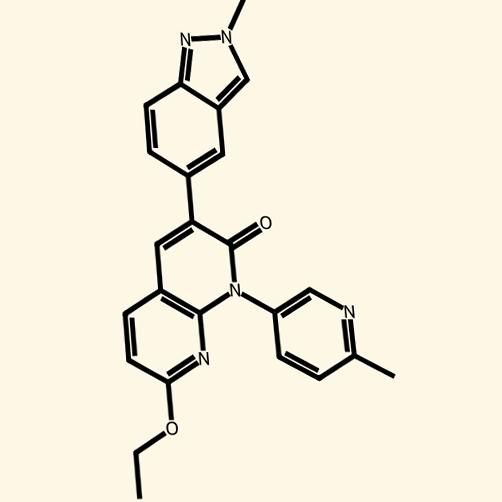 CCOc1ccc2cc(-c3ccc4nn(C)cc4c3)c(=O)n(-c3ccc(C)nc3)c2n1